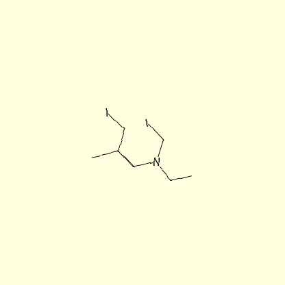 CCN(CI)CC(C)CI